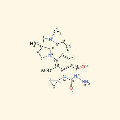 COc1c(N2CCC(C)(CN(C)CCC#N)C2)ccc2c(=O)n(N)c(=O)n(C3CC3)c12